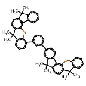 CC1(C)c2ccccc2Sc2c1ccc1c2-c2ccc(-c3cccc(-c4cccc5c4Sc4c(ccc6c4-c4ccccc4C6(C)C)C5(C)C)c3)cc2C1(C)C